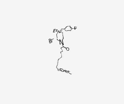 CCCCCCCCCCCCCCCCCC(=O)N1CC[N+](CC)(Cc2ccc(F)cc2)CC1.[Br-]